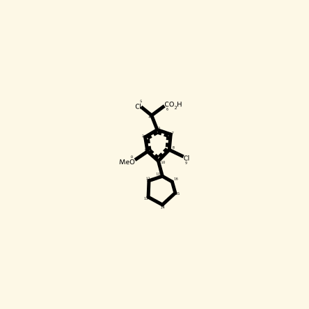 COc1cc(C(Cl)C(=O)O)cc(Cl)c1C1CCCCC1